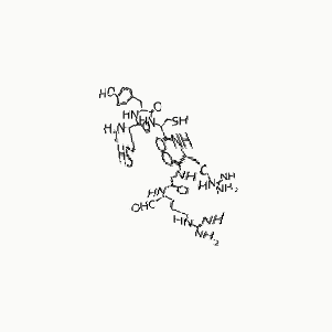 N=C(N)NCCC[C@@H]([C]=O)NC(=O)CNC(=O)[C@H](CCCNC(=N)N)NC(=O)[C@H](CS)NC(=O)[C@H](Cc1ccc(O)cc1)NC(=O)[C@@H](N)CS